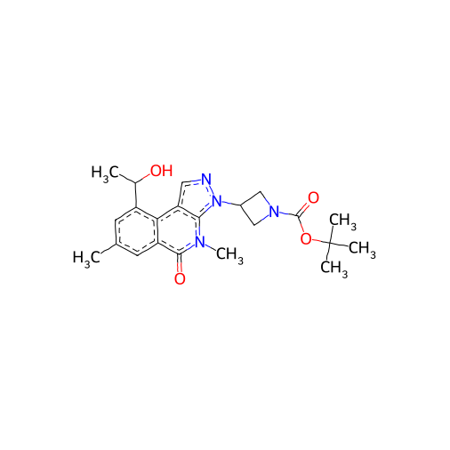 Cc1cc(C(C)O)c2c(c1)c(=O)n(C)c1c2cnn1C1CN(C(=O)OC(C)(C)C)C1